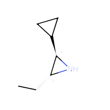 CC[C@H]1N[C@@H]1C1CC1